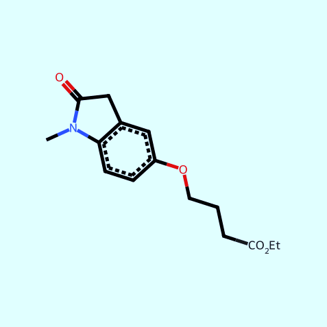 CCOC(=O)CCCOc1ccc2c(c1)CC(=O)N2C